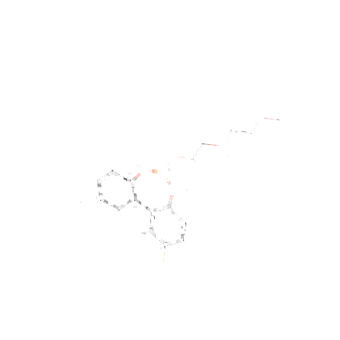 COCCOCCOp1oc2ccc(S)cc2c2cc(S)ccc2o1